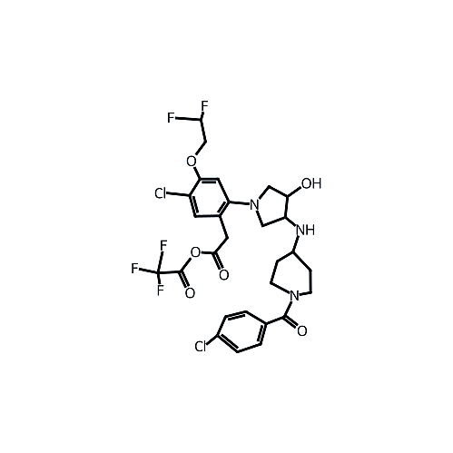 O=C(Cc1cc(Cl)c(OCC(F)F)cc1N1CC(O)C(NC2CCN(C(=O)c3ccc(Cl)cc3)CC2)C1)OC(=O)C(F)(F)F